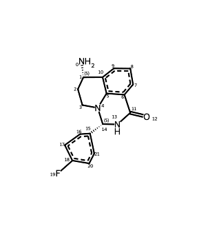 N[C@H]1CCN2c3c(cccc31)C(=O)N[C@@H]2c1ccc(F)cc1